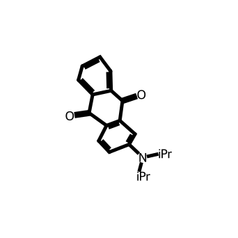 CC(C)N(c1ccc2c(c1)C(=O)c1ccccc1C2=O)C(C)C